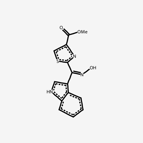 COC(=O)c1csc(C(=NO)c2c[nH]c3ccccc23)n1